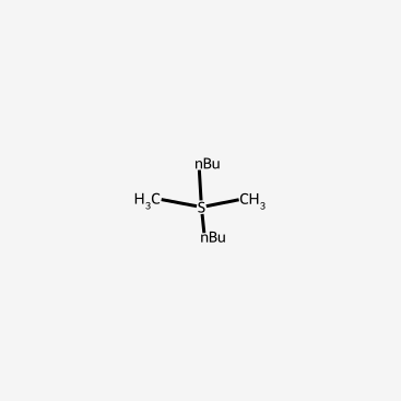 CCCCS(C)(C)CCCC